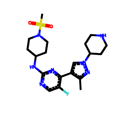 Cc1nn(C2CCNCC2)cc1-c1nc(NC2CCN(S(C)(=O)=O)CC2)ncc1F